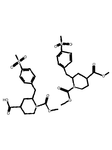 COC(=O)C1CCN(C(=O)OC)C(Cc2ccc(S(C)(=O)=O)cc2)C1.COC(=O)N1CCC(C(=O)O)CC1Cc1ccc(S(C)(=O)=O)cc1